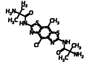 Cc1c2sc(NC(=O)C(C)(C)N)nc2c(Cl)c2nc(NC(=O)C(C)(C)N)sc12